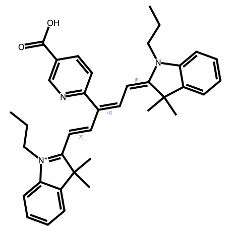 CCCN1/C(=C/C=C(/C=C/C2=[N+](CCC)c3ccccc3C2(C)C)c2ccc(C(=O)O)cn2)C(C)(C)c2ccccc21